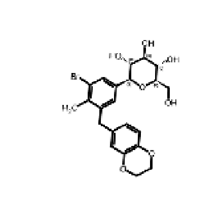 Cc1c(Br)cc([C@@H]2O[C@H](CO)[C@@H](O)[C@H](O)[C@H]2O)cc1Cc1ccc2c(c1)OCCO2